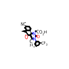 CC1=C(C(=O)C2CC2)[C@@H](c2ccc(C#N)cc2)N(CC(=O)O)C(=O)N1c1cccc(C(F)(F)F)c1